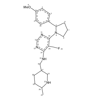 COc1ccc(C2CCCN2c2ncnc(NCC3CCC(C)NC3)c2F)cc1